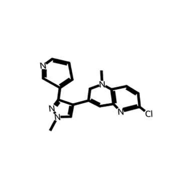 CN1CC(c2cn(C)nc2-c2cccnc2)=Cc2nc(Cl)ccc21